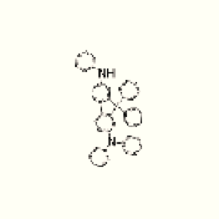 c1ccc(Nc2ccc3c(c2)C(c2ccccc2)(c2ccccc2)c2cc(N(c4ccccc4)c4ccccc4)ccc2-3)cc1